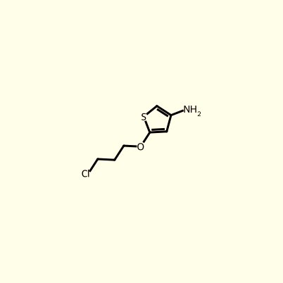 Nc1csc(OCCCCl)c1